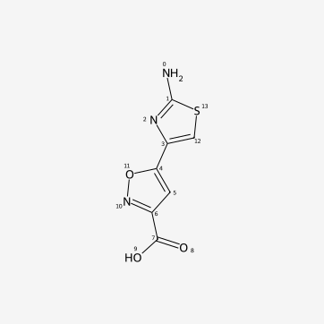 Nc1nc(-c2cc(C(=O)O)no2)cs1